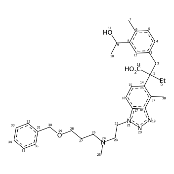 CCC(Cc1ccc(C)c(C(C)O)c1)(C(=O)O)c1ccc2c(nnn2CCN(C)CCCOCc2ccccc2)c1C